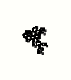 C=CC(=O)N1C[C@H](C)N(c2nc(=O)n(C3C(C)=CC=NC3C(C)C)c3nc(-c4c(O)cccc4F)c(Cl)cc23)C[C@H]1C